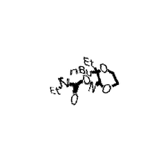 CCCCC1(CC)OCCOC1=NOC(=O)N(C)CC